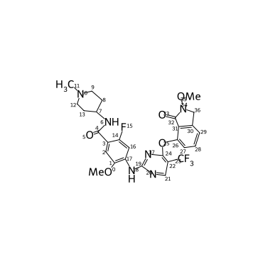 COc1cc(C(=O)NC2CCN(C)CC2)c(F)cc1Nc1ncc(C(F)(F)F)c(Oc2cccc3c2C(=O)N(OC)C3)n1